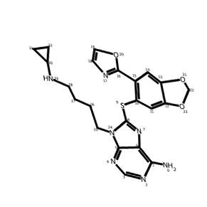 Nc1ncnc2c1nc(Sc1cc3c(cc1-c1ncco1)OCO3)n2CCCCNC1CC1